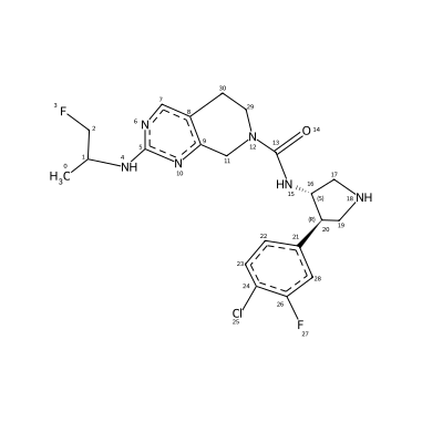 CC(CF)Nc1ncc2c(n1)CN(C(=O)N[C@@H]1CNC[C@H]1c1ccc(Cl)c(F)c1)CC2